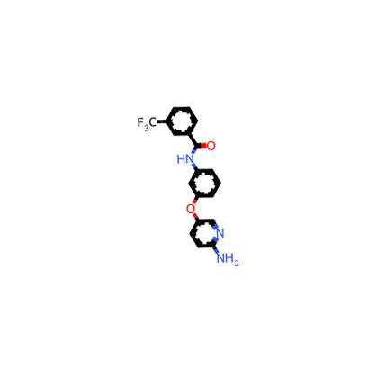 Nc1ccc(Oc2cccc(NC(=O)c3cccc(C(F)(F)F)c3)c2)cn1